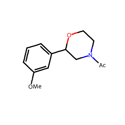 COc1cccc(C2CN(C(C)=O)CCO2)c1